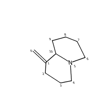 C=C1CCCN2CCCCC12